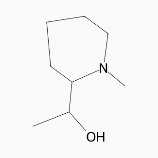 CC(O)C1CCCCN1C